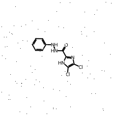 O=C(NNc1ccccc1)c1nc(Cl)c(Cl)[nH]1